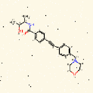 [CH2]C(NC(=O)c1ccc(C#Cc2ccc(CN3CCOCC3)cc2)cc1)C(C)O